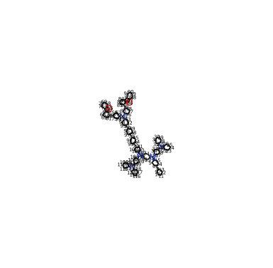 C1=CC(N(c2ccc(-c3ccccc3)cc2)c2ccc(N(c3ccccc3)c3ccccc3)cc2)CC=C1N(c1ccc(-c2ccc(-c3ccc(-c4ccc(N(c5ccc(-c6cccc7c6oc6ccccc67)cc5)c5cccc(-c6cccc7c6oc6ccccc67)c5)cc4)cc3)cc2)cc1)c1ccc(N(c2ccccc2)c2ccccc2)cc1